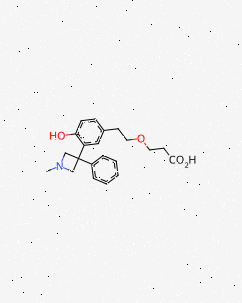 CN1CC(c2ccccc2)(c2cc(CCOCCC(=O)O)ccc2O)C1